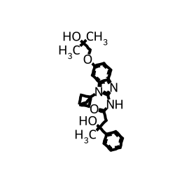 CC(C)(O)COc1ccc2nc(NC(=O)CC(C)(O)c3ccccc3)n(C34CC(C3)C4)c2c1